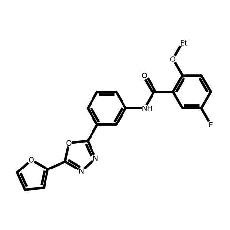 CCOc1ccc(F)cc1C(=O)Nc1cccc(-c2nnc(-c3ccco3)o2)c1